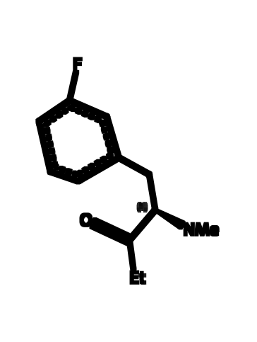 CCC(=O)[C@@H](Cc1cccc(F)c1)NC